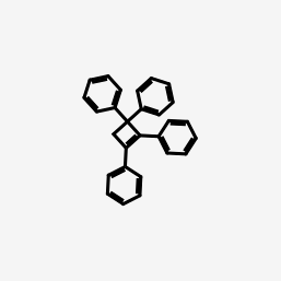 c1ccc(C2=C(c3ccccc3)C(c3ccccc3)(c3ccccc3)C2)cc1